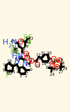 Cc1cccc2c1N(COC(=O)Cc1ccc(OP(=O)(OC(C)(C)C)OC(C)(C)C)cc1)C(=O)[C@@H](NC(=O)[C@H](CCC(F)(F)F)[C@@H](C(N)=O)C(F)(F)F)N=C2c1cccc(F)c1